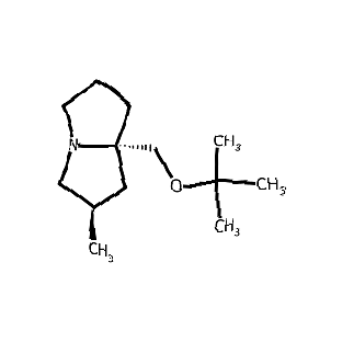 C[C@H]1CN2CCC[C@@]2(COC(C)(C)C)C1